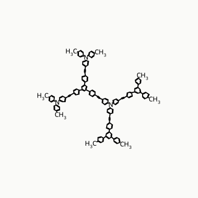 Cc1ccc(-c2cc(-c3ccc(C)cc3)cc(-c3ccc(C#Cc4ccc(N(c5ccc(C#Cc6ccc(-c7cc(-c8ccc(C)cc8)cc(-c8ccc(C)cc8)c7)cc6)cc5)c5ccc(C#Cc6ccc(-c7cc(-c8ccc(C#Cc9ccc(N(c%10ccc(C)cc%10)c%10ccc(C)cc%10)cc9)cc8)cc(-c8ccc(C#Cc9ccc(N(c%10ccc(C)cc%10)c%10ccc(C)cc%10)cc9)cc8)c7)cc6)cc5)cc4)cc3)c2)cc1